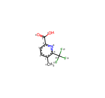 Cc1ccc(C(=O)O)nc1C(F)(F)F